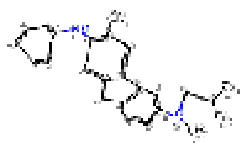 Cc1cc2c(cc1Nc1ccccc1)Cc1ccc(N(C)CC(C)C)cc1-2